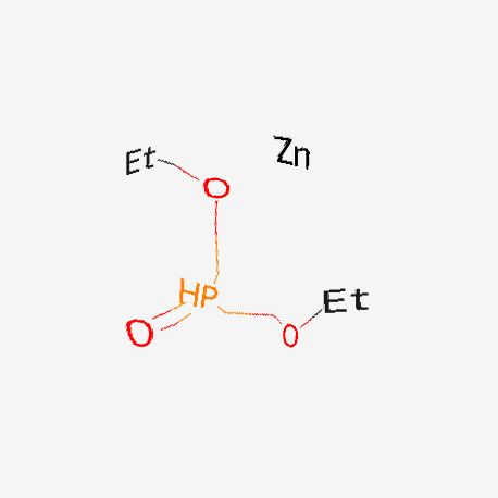 CCO[PH](=O)OCC.[Zn]